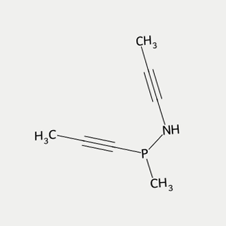 CC#CNP(C)C#CC